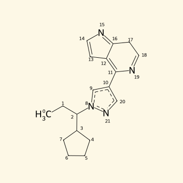 CCC(C1CCCC1)n1cc(C2=C3C=CN=C3CC=N2)cn1